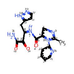 Cc1ncc(C(=O)NC(Cc2ccn[nH]2)C(=O)C(N)=O)n1-c1ccccn1